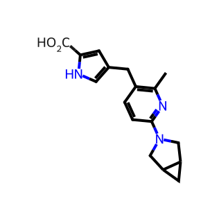 Cc1nc(N2CC3CC3C2)ccc1Cc1c[nH]c(C(=O)O)c1